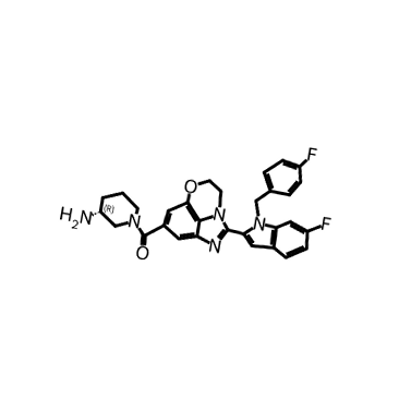 N[C@@H]1CCCN(C(=O)c2cc3c4c(c2)nc(-c2cc5ccc(F)cc5n2Cc2ccc(F)cc2)n4CCO3)C1